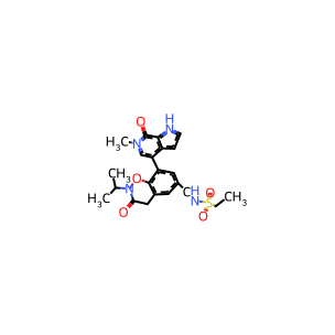 CCS(=O)(=O)NCc1cc2c(c(-c3cn(C)c(=O)c4[nH]ccc34)c1)ON(C(C)C)C(=O)C2